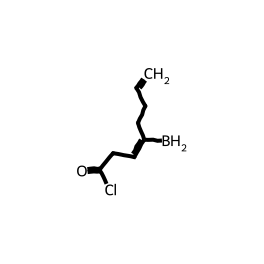 B/C(=C/CC(=O)Cl)CCC=C